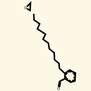 C1CO1.CCCCCCCCCCCCc1ccccc1C=O